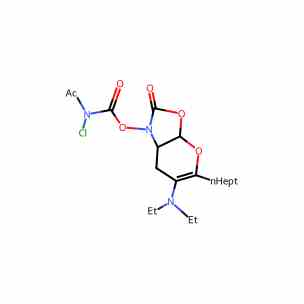 CCCCCCCC1=C(N(CC)CC)CC2C(OC(=O)N2OC(=O)N(Cl)C(C)=O)O1